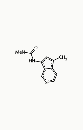 [CH2]c1cc(NC(=O)NC)c2csccc1-2